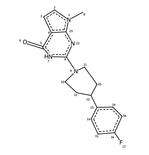 Cn1ccc2c(=O)[nH]c(N3CCC(c4ccc(F)cc4)CC3)nc21